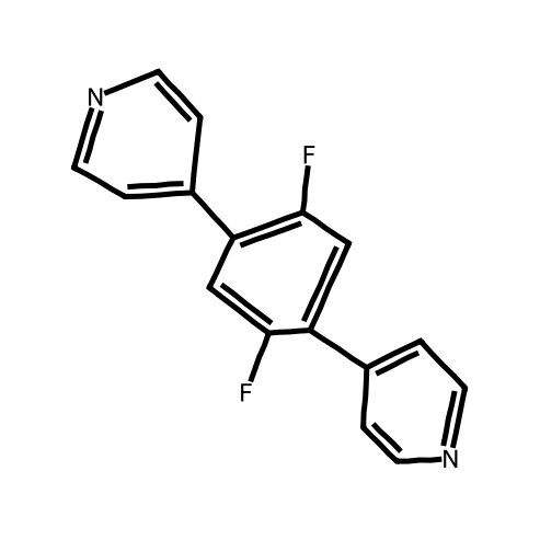 Fc1cc(-c2ccncc2)c(F)cc1-c1ccncc1